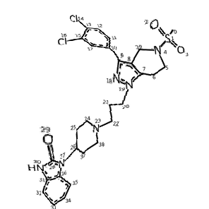 CS(=O)(=O)N1CCc2c(c(-c3ccc(Cl)c(Cl)c3)nn2CCCN2CCC(n3c(=O)[nH]c4ccccc43)CC2)C1